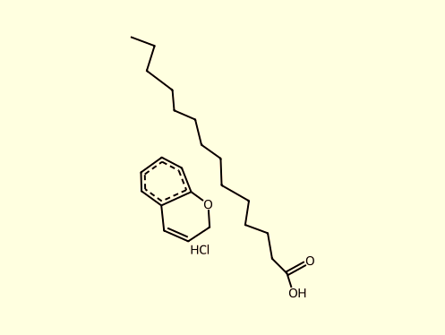 C1=Cc2ccccc2OC1.CCCCCCCCCCCCCC(=O)O.Cl